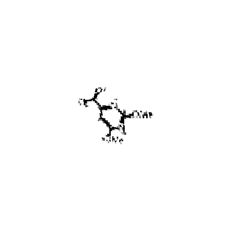 COc1cc(C(=O)Cl)nc(OC)n1